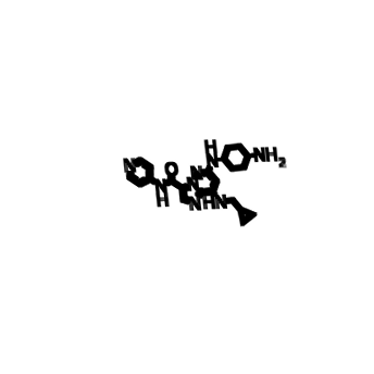 N[C@H]1CC[C@H](Nc2cc(NCC3CC3)c3ncc(C(=O)Nc4ccncc4)n3n2)CC1